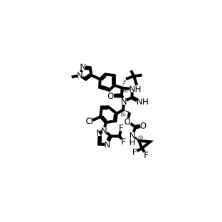 Cn1cc(-c2ccc([C@@]3(CC(C)(C)C)NC(=N)N([C@H](COC(=O)N[C@H]4CC4(F)F)c4ccc(Cl)c(-n5ncnc5C(F)F)c4)C3=O)cc2)cn1